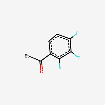 CCC(=O)c1ccc(F)c(F)c1F